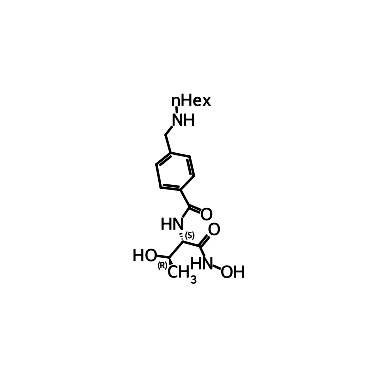 CCCCCCNCc1ccc(C(=O)N[C@H](C(=O)NO)[C@@H](C)O)cc1